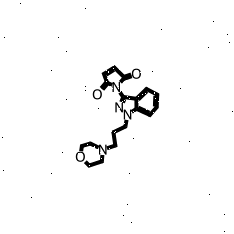 O=C1C=CC(=O)N1c1nn(CCCN2CCOCC2)c2ccccc12